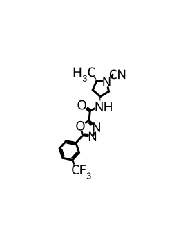 C[C@H]1C[C@@H](NC(=O)c2nnc(-c3cccc(C(F)(F)F)c3)o2)CN1C#N